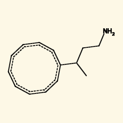 CC(CCN)c1ccccccccc1